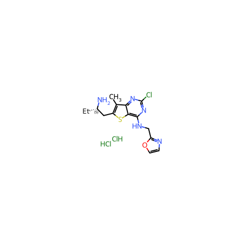 CC[C@H](N)Cc1sc2c(NCc3ncco3)nc(Cl)nc2c1C.Cl.Cl